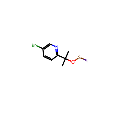 CC(C)(OSI)c1ccc(Br)cn1